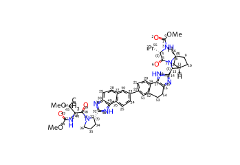 COC(=O)N[C@H](C(=O)N1[C@@H]2CC[C@@H](C2)[C@H]1c1nc2c([nH]1)-c1ccc(-c3ccc4c(ccc5nc([C@@H]6CCCN6C(=O)[C@@H](NC(=O)OC)[C@@H](C)OC)[nH]c54)c3)cc1CC2)C(C)C